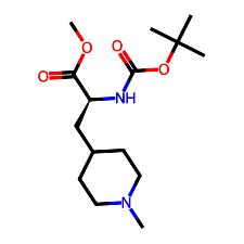 COC(=O)[C@H](CC1CCN(C)CC1)NC(=O)OC(C)(C)C